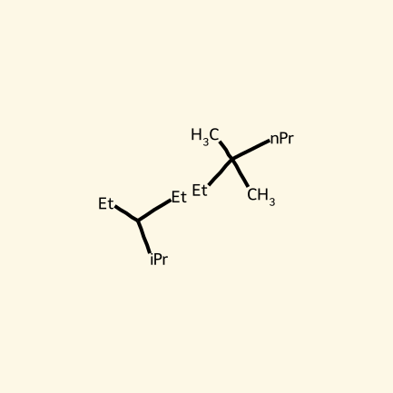 CCC(CC)C(C)C.CCCC(C)(C)CC